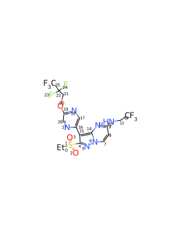 CCS(=O)(=O)c1nn2ccc(NCC(F)(F)F)nc2c1-c1cnc(OCC(F)(F)C(F)(F)F)cn1